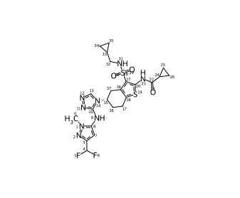 Cn1nc(C(F)F)cc1Nc1nncn1[C@H]1CCc2sc(NC(=O)C3CC3)c(S(=O)(=O)NCC3CC3)c2C1